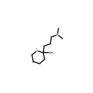 CN(C)CCCC1([SiH3])CCCCO1